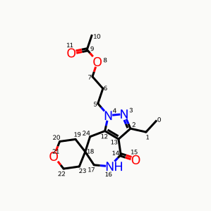 CCc1nn(CCCOC(C)=O)c2c1C(=O)NCC1(CCOCC1)C2